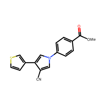 COC(=O)c1ccc(-n2cc(C#N)c(-c3ccsc3)c2)cc1